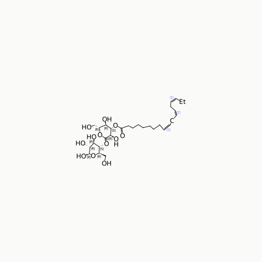 CC/C=C\C/C=C\C/C=C\CCCCCCCC(=O)O[C@@H]1[C@@H](O)[C@@H](O[C@H]2[C@H](O)[C@@H](O)[C@H](O)O[C@@H]2CO)O[C@H](CO)[C@H]1O